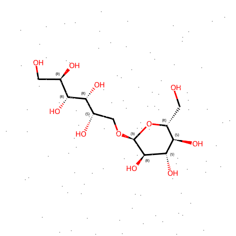 OC[C@@H](O)[C@@H](O)[C@H](O)[C@@H](O)CO[C@H]1O[C@H](CO)[C@@H](O)[C@H](O)[C@H]1O